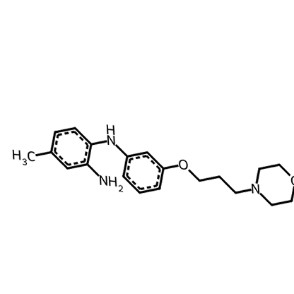 Cc1ccc(Nc2cccc(OCCCN3CCOCC3)c2)c(N)c1